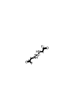 O=C(F)CNSSNCC(=O)F